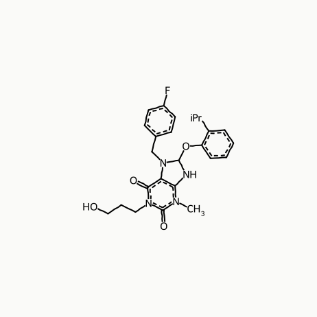 CC(C)c1ccccc1OC1Nc2c(c(=O)n(CCCO)c(=O)n2C)N1Cc1ccc(F)cc1